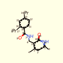 Cc1cc(C)c(CNC(=O)c2ccc(C(C)C)cc2C(C)C)c(=O)[nH]1